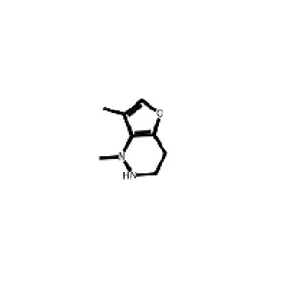 Cc1coc2c1N(C)NCC2